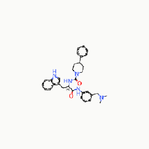 CN(C)Cc1cccc(NC(=O)[C@@H](Cc2c[nH]c3ccccc23)NC(=O)N2CCC(c3ccccc3)CC2)c1